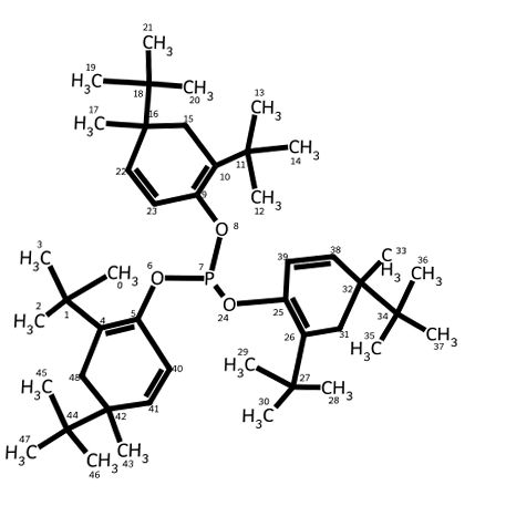 CC(C)(C)C1=C(OP(OC2=C(C(C)(C)C)CC(C)(C(C)(C)C)C=C2)OC2=C(C(C)(C)C)CC(C)(C(C)(C)C)C=C2)C=CC(C)(C(C)(C)C)C1